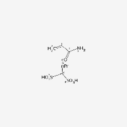 C=CC(N)=O.CCCC(S(=O)(=O)O)S(=O)(=O)O